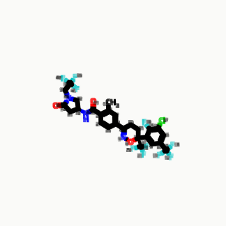 Cc1cc(C2=NO[C@](c3cc(C(F)(F)F)cc(Cl)c3F)(C(F)(F)F)CC2)ccc1C(=O)N[C@H]1CC(=O)N(CC(F)(F)F)C1